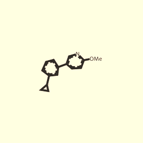 COc1ccc(-c2cccc([C]3CC3)c2)cn1